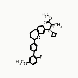 COC(=O)[C@@H](C)[C@H](c1ccc2c(c1)OC(c1ccc(-c3cc(OC)ccc3F)cc1)CCC2)C1CCC1